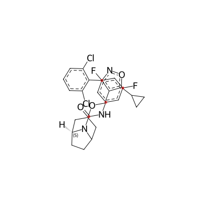 O=C(Nc1cc(F)cc(F)c1)N1C2CC[C@H]1CC(OCc1c(-c3c(Cl)cccc3Cl)noc1C1CC1)C2